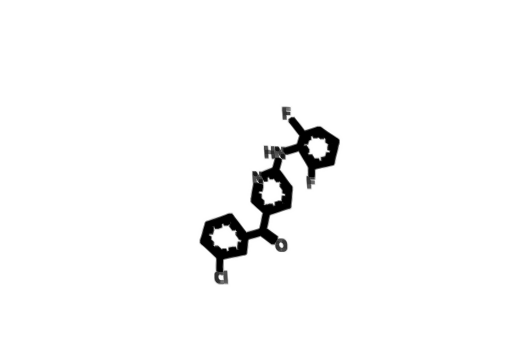 O=C(c1ccc(Nc2c(F)cccc2F)nc1)c1cccc(Cl)c1